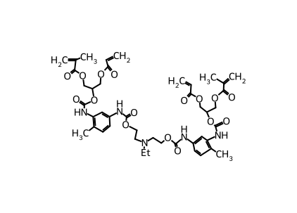 C=CC(=O)OCC(COC(=O)C(=C)C)OC(=O)Nc1cc(NC(=O)OCCN(CC)CCOC(=O)Nc2ccc(C)c(NC(=O)OC(COC(=O)C=C)COC(=O)C(=C)C)c2)ccc1C